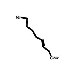 COC/C=C/CCCCBr